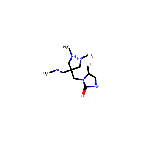 CNCC(CNC)(CNC)CN1C(=O)NCC1C